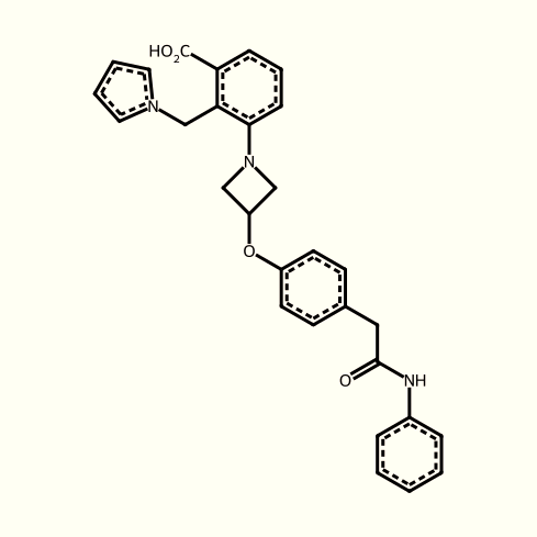 O=C(Cc1ccc(OC2CN(c3cccc(C(=O)O)c3Cn3cccc3)C2)cc1)Nc1ccccc1